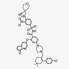 CC1(C)CCC(CN2CCN(c3ccc(C(=O)NS(=O)(=O)c4ccc(NCC5(C#N)CCOCC5)c([N+](=O)[O-])c4)c(Oc4cnc5[nH]ccc5c4)c3)CC2)=C(c2ccc(Cl)cc2)C1